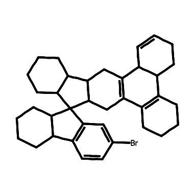 Brc1ccc2c(c1)C1(C3CCCCC23)C2CCCCC2C2CC3=C(CC21)C1=C(CCCC1)C1CCC=CC31